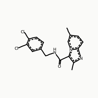 Cc1ccc2nc(C)c(C(=O)NCc3ccc(Cl)c(Cl)c3)n2c1